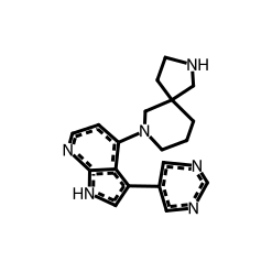 c1ncc(-c2c[nH]c3nccc(N4CCCC5(CCNC5)C4)c23)cn1